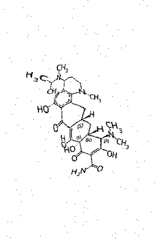 CC(C)N(C)C1CCN(C)c2c1cc(O)c1c2C[C@@H]2C[C@@H]3[C@@H](N(C)C)C(O)=C(C(N)=O)C(=O)[C@@]3(O)C(O)=C2C1=O